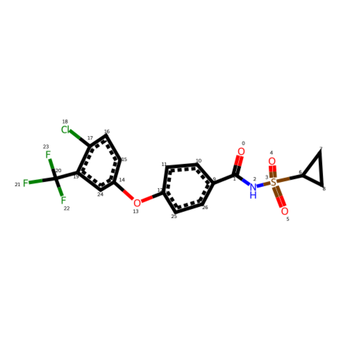 O=C(NS(=O)(=O)C1CC1)c1ccc(Oc2ccc(Cl)c(C(F)(F)F)c2)cc1